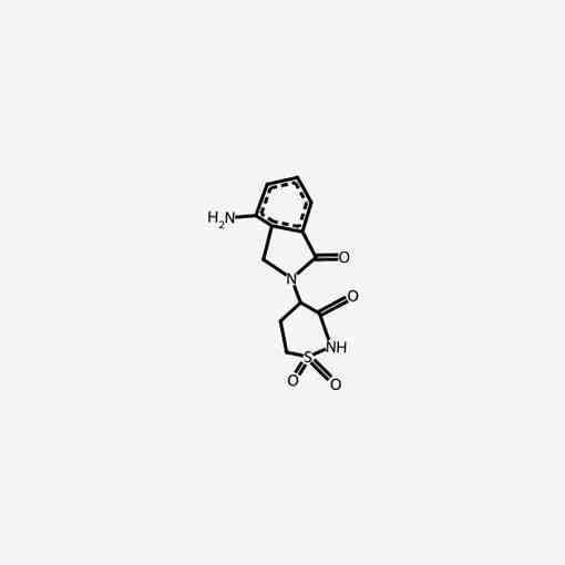 Nc1cccc2c1CN(C1CCS(=O)(=O)NC1=O)C2=O